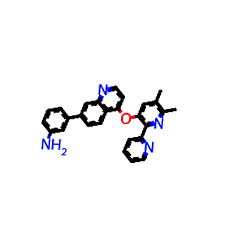 Cc1cc(Oc2ccnc3cc(-c4cccc(N)c4)ccc23)c(-c2ccccn2)nc1C